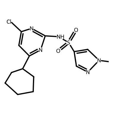 Cn1cc(S(=O)(=O)Nc2nc(Cl)cc(C3CCCCC3)n2)cn1